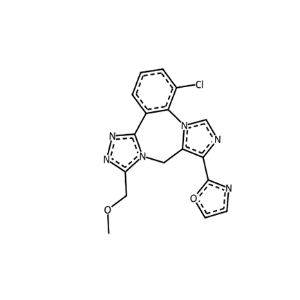 COCc1nnc2n1Cc1c(-c3ncco3)ncn1-c1c(Cl)cccc1-2